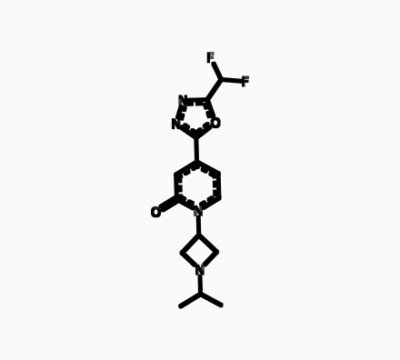 CC(C)N1CC(n2ccc(-c3nnc(C(F)F)o3)cc2=O)C1